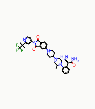 CC1CN(C2CCN(c3ccc4c(c3)C(=O)N(c3ccnc(C(C)(C)C(F)(F)F)c3)C4=O)CC2)CCN1c1ccccc1C(=CN)C(N)=O